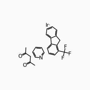 CC(=O)CC(C)=O.FC(F)(F)c1cccc2c1Cc1ccccc1-2.[Ir].c1ccncc1